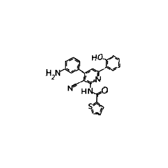 N#Cc1c(-c2cccc(N)c2)cc(-c2ccccc2O)nc1NC(=O)c1cccs1